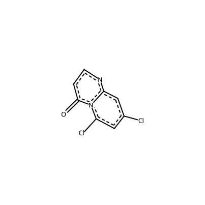 O=c1ccnc2cc(Cl)cc(Cl)n12